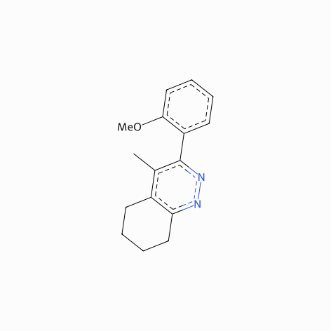 COc1ccccc1-c1nnc2c(c1C)CCCC2